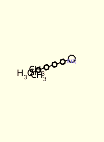 C[Si](C)(C)c1ccc(-c2ccc(-c3ccc(-c4ccc(/C5=C/C=C\CCCC5)cc4)cc3)cc2)cc1